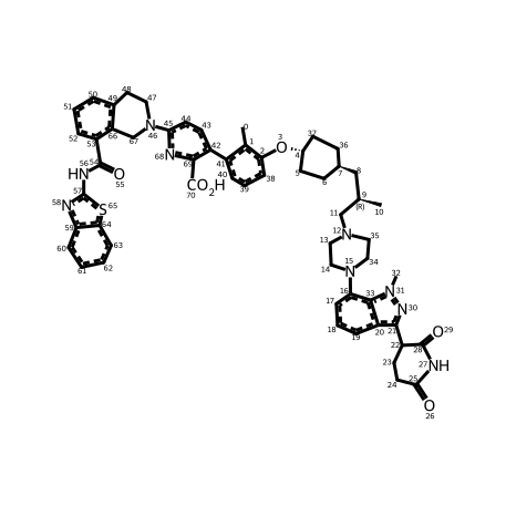 Cc1c(O[C@H]2CC[C@H](C[C@@H](C)CN3CCN(c4cccc5c(C6CCC(=O)NC6=O)nn(C)c45)CC3)CC2)cccc1-c1ccc(N2CCc3cccc(C(=O)Nc4nc5ccccc5s4)c3C2)nc1C(=O)O